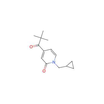 CC(C)(C)C(=O)c1ccn(CC2CC2)c(=O)c1